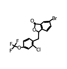 O=C1OC(Cc2ccc(OC(F)(F)F)cc2Cl)c2ccc(Br)cc21